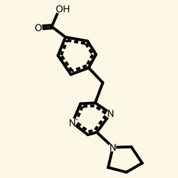 O=C(O)c1ccc(Cc2cncc(N3CCCC3)n2)cc1